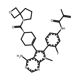 C=C(C)C(=O)Nc1ccc(-c2c(C3=CC[C@H](C(=O)N4CCCC45COC5)CC3)c3c(N)ncnc3n2C)c(F)c1